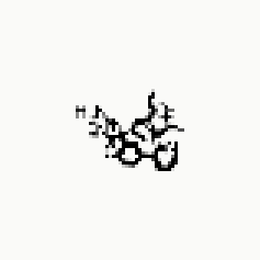 CCC(=O)C1=CC([C@]2(c3cccc(-c4cccnc4F)c3)N=C(N)N(C)C2=O)CN1CC(F)F